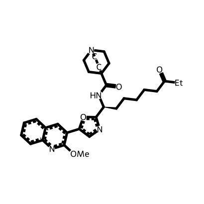 CCC(=O)CCCCC[C@H](NC(=O)C12CCN(CC1)CC2)c1ncc(-c2cc3ccccc3nc2OC)o1